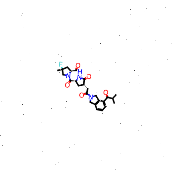 CC(C)C(=O)c1cccc2c1CN(C(=O)C[C@@H]1C[C@@H](C(=O)N3CC(C)(F)C[C@H]3C=O)NC1=O)C2